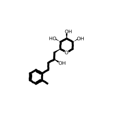 Cc1ccccc1CC[C@H](O)C[C@@H]1OC[C@@H](O)[C@H](O)[C@H]1O